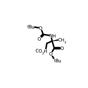 CC(C)(C)OC(=O)N[C@@](C)(CC(=O)O)C(=O)OC(C)(C)C